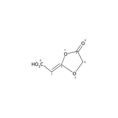 O=C(O)C=C1OCC(=O)O1